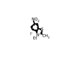 CC[n+]1c(C)sc2cc([N+](=O)[O-])ccc21.[I-]